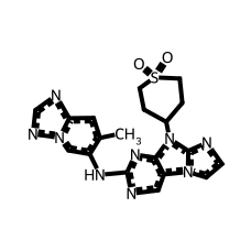 Cc1cc2ncnn2cc1Nc1ncc2c(n1)n(C1CCS(=O)(=O)CC1)c1nccn21